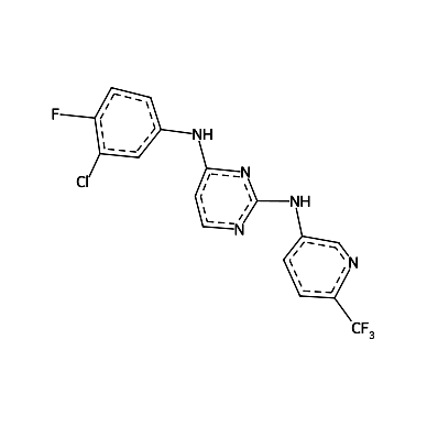 Fc1ccc(Nc2ccnc(Nc3ccc(C(F)(F)F)nc3)n2)cc1Cl